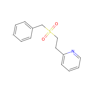 O=S(=O)(CCc1ccccn1)Cc1cc[c]cc1